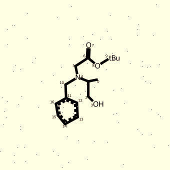 CC(CO)N(CC(=O)OC(C)(C)C)Cc1ccccc1